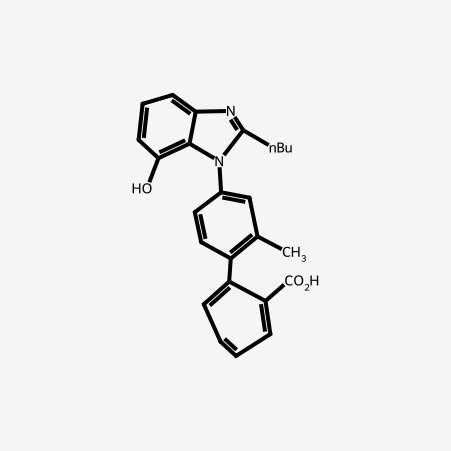 CCCCc1nc2cccc(O)c2n1-c1ccc(-c2ccccc2C(=O)O)c(C)c1